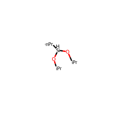 CC[CH][SiH](OC(C)C)OC(C)C